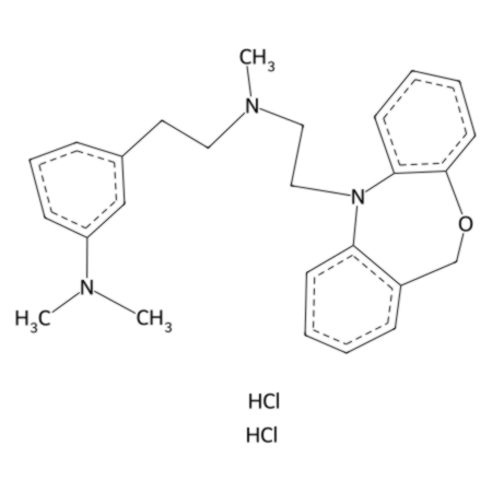 CN(CCc1cccc(N(C)C)c1)CCN1c2ccccc2COc2ccccc21.Cl.Cl